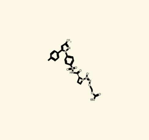 Cc1ccc(-c2cc(C(F)(F)F)nn2-c2ccc(S(=O)(=O)NC(=O)[C@@H]3CCN3/[N+]([O-])=N\OCOC(=O)C(C)(C)C)cc2)cc1